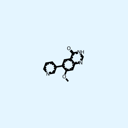 COc1cc2nc[nH]c(=O)c2cc1-c1cccnc1